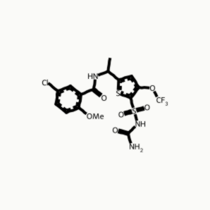 COc1ccc(Cl)cc1C(=O)NC(C)c1cc(OC(F)(F)F)c(S(=O)(=O)NC(N)=O)s1